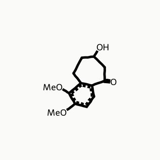 COc1ccc2c(c1OC)CCC(O)CC2=O